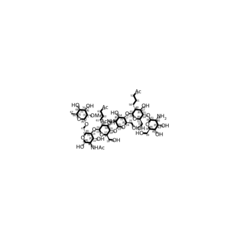 CO[C@@H]1[C@H](OC[C@H]2O[C@@H](O)[C@H](NC(C)=O)[C@@H](O)[C@@H]2O[C@@H]2O[C@H](CO)[C@@H](O[C@@H]3O[C@H](CO)[C@@H](O[C@@H]4O[C@H](CO)[C@@H](O[C@@H]5O[C@H](CO)[C@@H](O)[C@H](O)[C@H]5N)[C@H](O)[C@H]4CCCC(C)=O)[C@H](O)[C@H]3NC(C)=O)[C@H](O)[C@H]2CCCC(C)=O)O[C@@H](C)[C@@H](O)[C@H]1O